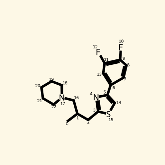 CC(Cc1nc(-c2ccc(F)c(F)c2)cs1)CN1CCCCC1